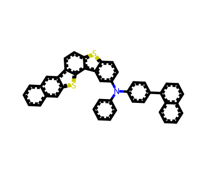 c1ccc(N(c2ccc(-c3cccc4ccccc34)cc2)c2ccc3sc4ccc5c6cc7ccccc7cc6sc5c4c3c2)cc1